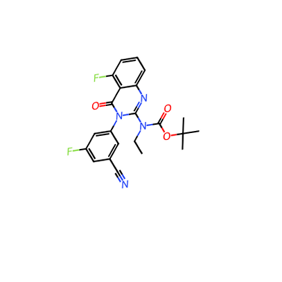 CCN(C(=O)OC(C)(C)C)c1nc2cccc(F)c2c(=O)n1-c1cc(F)cc(C#N)c1